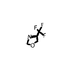 FC(F)(F)C1=N[CH]OC1